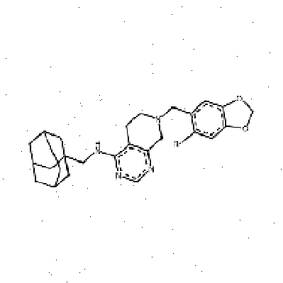 Brc1cc2c(cc1CN1CCc3c(ncnc3NCC34CC5CC(CC(C5)C3)C4)C1)OCO2